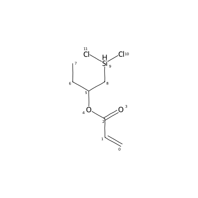 C=CC(=O)OC(CC)C[SiH](Cl)Cl